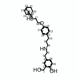 OCc1cc(CCNCCCc2ccc(OCCB[N+]34CCC(CC3)CC4)cc2)ccc1O